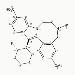 COc1ccc2c(c1)CN(C(C)C)CCn1c-2c([C@H]2CCCC[C@@H]2F)c2ccc(C(=O)O)cc21